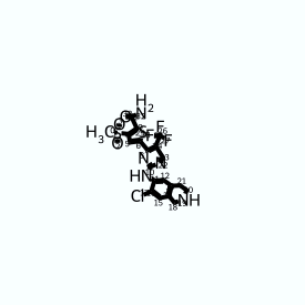 CS(=O)(=O)c1cc(-c2nc(Nc3cc4c(cc3Cl)CNCC4)ncc2C(F)(F)F)sc1C(N)=O